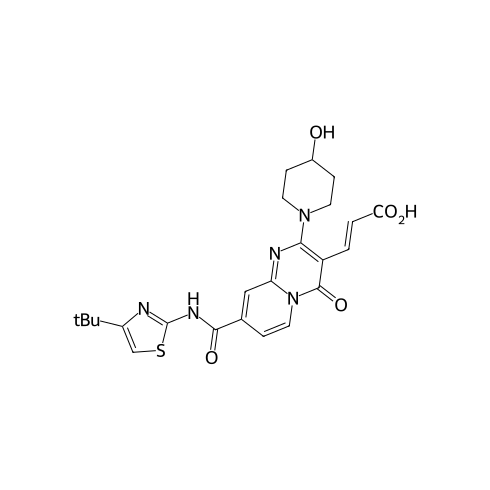 CC(C)(C)c1csc(NC(=O)c2ccn3c(=O)c(/C=C/C(=O)O)c(N4CCC(O)CC4)nc3c2)n1